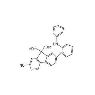 CCCCCCCCCCC1(CCCCCCCCCC)c2cc(C#N)ccc2-c2ccc(-c3ccccc3Nc3ccccc3)cc21